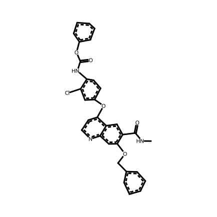 CNC(=O)c1cc2c(Oc3ccc(NC(=O)Oc4ccccc4)c(Cl)c3)ccnc2cc1OCc1ccccc1